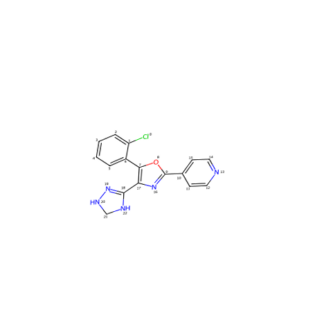 Clc1ccccc1-c1oc(-c2ccncc2)nc1C1=NNCN1